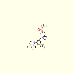 CC(C)(C)OC(=O)N1CCC2(CCCN2Cc2cc(N3CCCC[C@H]3C(=O)O)cc(C(F)(F)F)c2)CC1